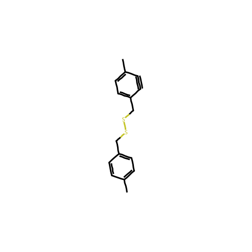 Cc1c#cc(CSSCc2ccc(C)cc2)cc1